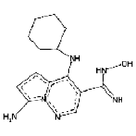 N=C(NO)c1cnn2c(N)ccc2c1NC1CCCCC1